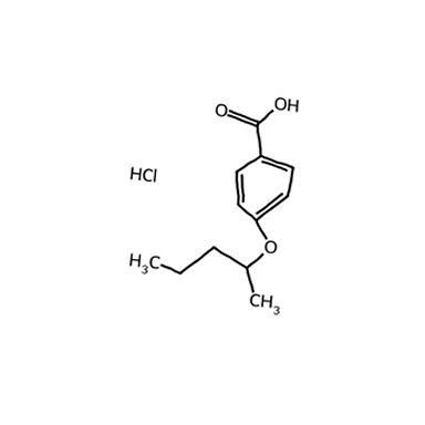 CCCC(C)Oc1ccc(C(=O)O)cc1.Cl